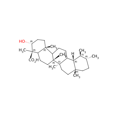 C[C@H]1[C@H](C)CC[C@]2(C)CC[C@]3(C)C(=CCC4[C@@]5(C)CC[C@@H](O)[C@](C)(C(=O)O)C5CC[C@]43C)[C@H]12